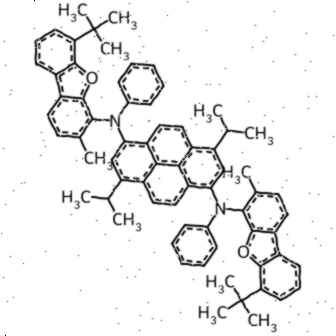 Cc1ccc2c(oc3c(C(C)(C)C)cccc32)c1N(c1ccccc1)c1cc(C(C)C)c2ccc3c(N(c4ccccc4)c4c(C)ccc5c4oc4c(C(C)(C)C)cccc45)cc(C(C)C)c4ccc1c2c43